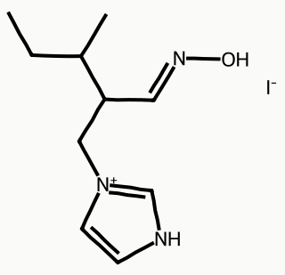 CCC(C)C(C=NO)C[n+]1cc[nH]c1.[I-]